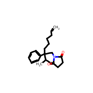 C=CCCCCC(CN1C(=O)CCC1=O)(c1ccccc1)C(C)C